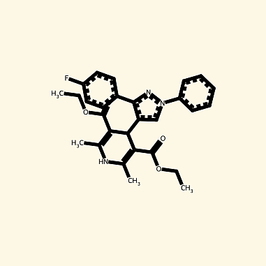 CCOC(=O)C1=C(C)NC(C)=C(C(=O)OCC)C1c1cn(-c2ccccc2)nc1-c1ccc(F)cc1